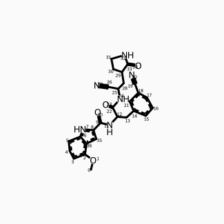 COc1cccc2[nH]c(C(=O)NC(Cc3cccc(C#N)c3)C(=O)NC(C#N)CC3CCNC3=O)cc12